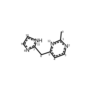 Cc1nccc(Cc2ncc[nH]2)n1